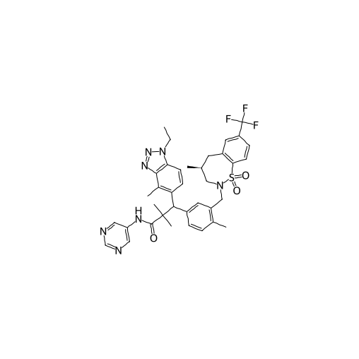 CCn1nnc2c(C)c(C(c3ccc(C)c(CN4C[C@@H](C)Cc5cc(C(F)(F)F)ccc5S4(=O)=O)c3)C(C)(C)C(=O)Nc3cncnc3)ccc21